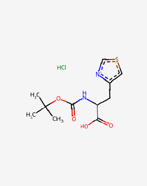 CC(C)(C)OC(=O)NC(Cc1cscn1)C(=O)O.Cl